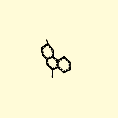 Cc1ccc2cc(C)c3ccccc3c2c1